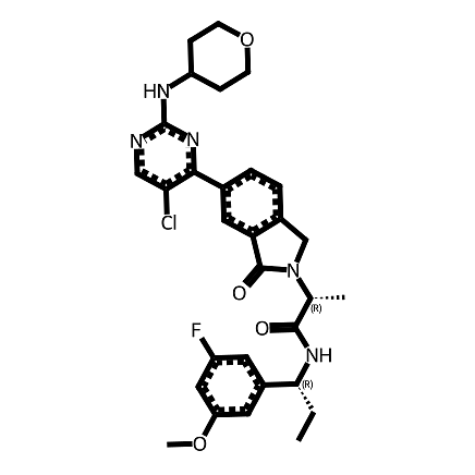 CC[C@@H](NC(=O)[C@@H](C)N1Cc2ccc(-c3nc(NC4CCOCC4)ncc3Cl)cc2C1=O)c1cc(F)cc(OC)c1